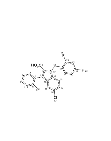 O=C(O)c1c(-c2cccnc2F)c2cc(Cl)ccc2n1Cc1ccc(F)cc1F